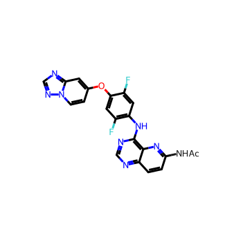 CC(=O)Nc1ccc2ncnc(Nc3cc(F)c(Oc4ccn5ncnc5c4)cc3F)c2n1